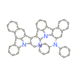 c1ccc(N(c2ccccc2)c2cc3ccccc3c3c4cccc5c6c7c8cc9ccccc9c9c%10ccccc%10n(c7cnc6n(c23)c54)c89)cc1